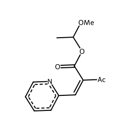 COC(C)OC(=O)/C(=C\c1ccccn1)C(C)=O